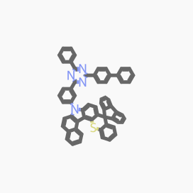 c1ccc(-c2ccc(-c3nc(-c4ccccc4)nc(-c4cccc(-n5c6ccc7c(c6c6c8ccccc8ccc65)Sc5ccccc5C75c6ccccc6-c6ccccc65)c4)n3)cc2)cc1